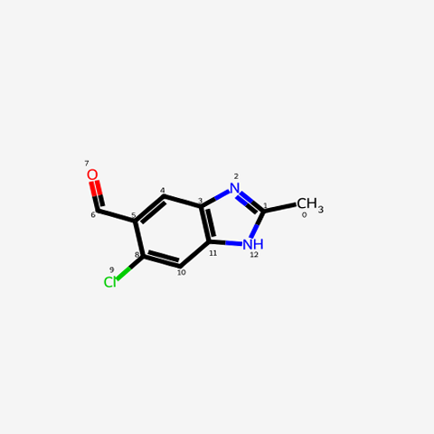 Cc1nc2cc(C=O)c(Cl)cc2[nH]1